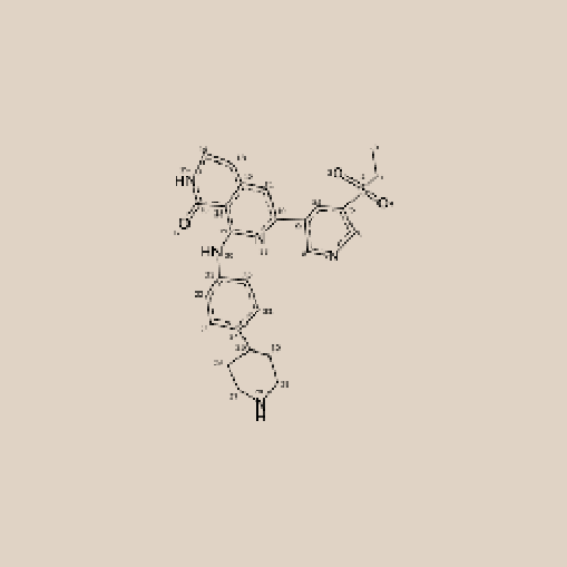 CCS(=O)(=O)c1cncc(-c2cc3cc[nH]c(=O)c3c(Nc3ccc(C4CCNCC4)cc3)n2)c1